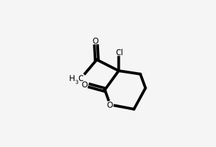 CC(=O)C1(Cl)CCCOC1=O